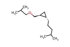 CC(C)CCC[C@H]1C[C@@H]1COCC(C)C